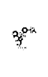 Cc1nnc(-c2cccc(S(=O)(=O)n3cc(CN(C)C(=O)O)c(F)c3-c3cccnc3F)c2)o1